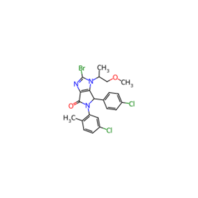 COCC(C)n1c(Br)nc2c1C(c1ccc(Cl)cc1)N(c1cc(Cl)ccc1C)C2=O